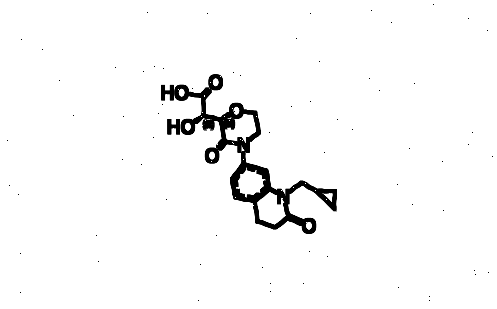 O=C(O)[C@H](O)[C@H]1OCCN(c2ccc3c(c2)N(CC2CC2)C(=O)CC3)C1=O